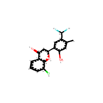 Cc1cc(O)c(-c2cc(=O)c3cccc(Cl)c3o2)cc1C(F)F